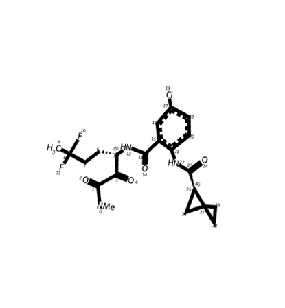 CNC(=O)C(=O)[C@H](CCC(C)(F)F)NC(=O)c1cc(Cl)ccc1NC(=O)[C@@H]1CC12CC2